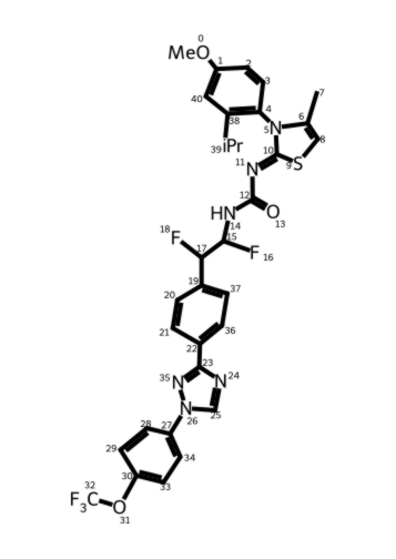 COc1ccc(-n2c(C)cs/c2=N\C(=O)NC(F)C(F)c2ccc(-c3ncn(-c4ccc(OC(F)(F)F)cc4)n3)cc2)c(C(C)C)c1